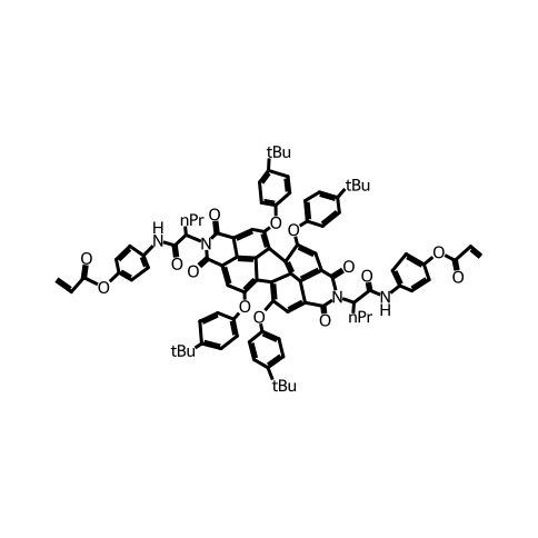 C=CC(=O)Oc1ccc(NC(=O)C(CCC)N2C(=O)c3cc(Oc4ccc(C(C)(C)C)cc4)c4c5c(Oc6ccc(C(C)(C)C)cc6)cc6c7c(cc(Oc8ccc(C(C)(C)C)cc8)c(c8c(Oc9ccc(C(C)(C)C)cc9)cc(c3c48)C2=O)c75)C(=O)N(C(CCC)C(=O)Nc2ccc(OC(=O)C=C)cc2)C6=O)cc1